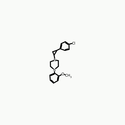 COc1ccccc1N1CCN([C]2CC2c2ccc(Cl)cc2)CC1